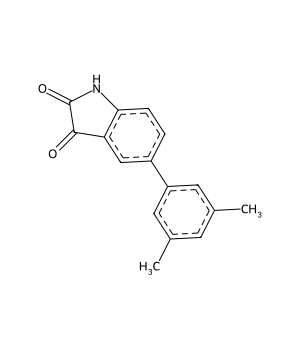 Cc1cc(C)cc(-c2ccc3c(c2)C(=O)C(=O)N3)c1